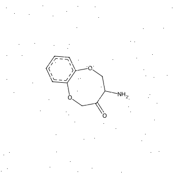 NC1COc2ccccc2OCC1=O